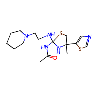 CC(=O)NC1(NCCN2CCCCC2)NC(C)(c2cncs2)CS1